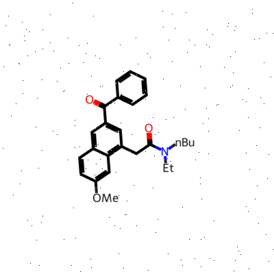 CCCCN(CC)C(=O)Cc1cc(C(=O)c2ccccc2)cc2ccc(OC)cc12